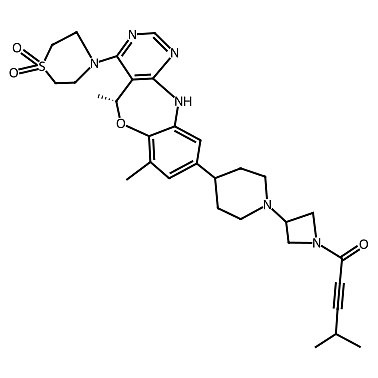 Cc1cc(C2CCN(C3CN(C(=O)C#CC(C)C)C3)CC2)cc2c1O[C@H](C)c1c(ncnc1N1CCS(=O)(=O)CC1)N2